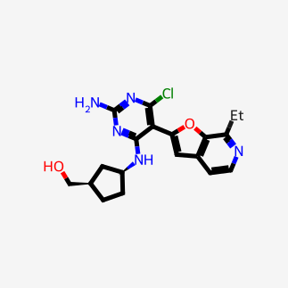 CCc1nccc2cc(-c3c(Cl)nc(N)nc3N[C@H]3CC[C@@H](CO)C3)oc12